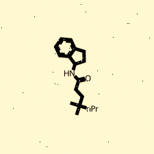 CCCC(C)(C)CCC(=O)NC1CCc2ccccc21